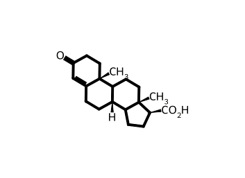 C[C@]12CCC(=O)C=C1CC[C@@H]1C2CC[C@@]2(C)C1CC[C@@H]2C(=O)O